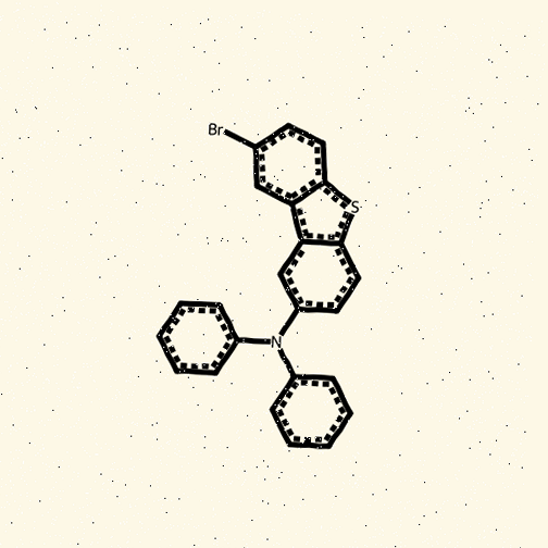 Brc1ccc2sc3ccc(N(c4ccccc4)c4ccccc4)cc3c2c1